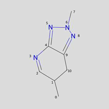 CC1C=Nc2nn(C)nc2C1